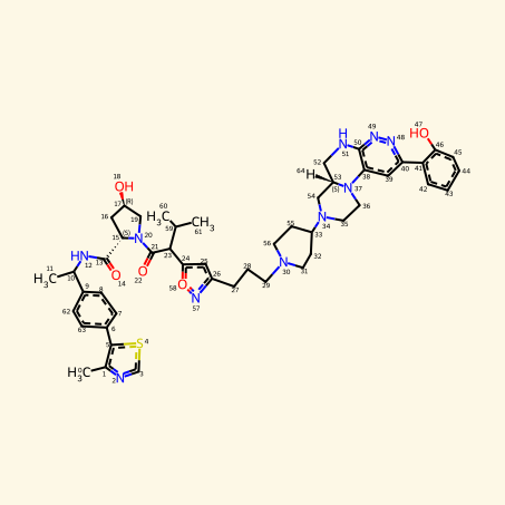 Cc1ncsc1-c1ccc(C(C)NC(=O)[C@@H]2C[C@@H](O)CN2C(=O)C(c2cc(CCCN3CCC(N4CCN5c6cc(-c7ccccc7O)nnc6NC[C@H]5C4)CC3)no2)C(C)C)cc1